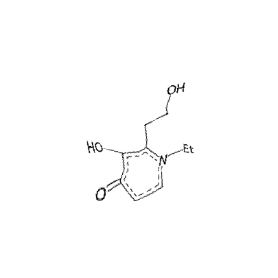 CCn1ccc(=O)c(O)c1CCO